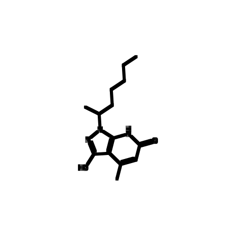 CCCCCC(C)n1nc(O)c2c(C)cc(=O)[nH]c21